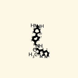 Cc1nc2ncccc2cc1C(=O)NCc1ccc(C2CCC3(CC2)NN3)cc1